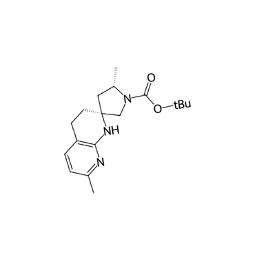 Cc1ccc2c(n1)N[C@@]1(CC2)C[C@H](C)N(C(=O)OC(C)(C)C)C1